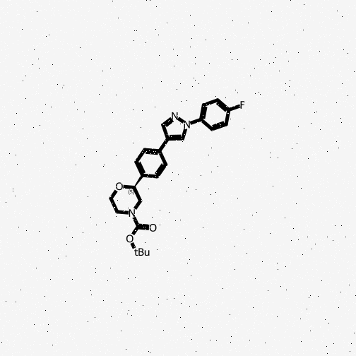 CC(C)(C)OC(=O)N1CCO[C@@H](c2ccc(-c3cnn(-c4ccc(F)cc4)c3)cc2)C1